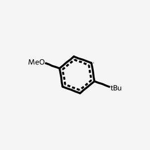 COc1c[c]c(C(C)(C)C)cc1